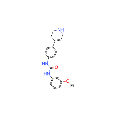 CCOc1cccc(NC(=O)Nc2ccc(C3=CCNCC3)cc2)c1